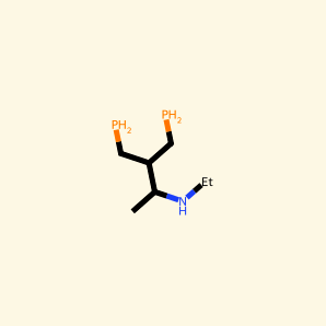 CCNC(C)C(CP)CP